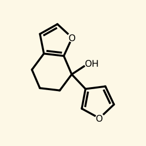 OC1(c2ccoc2)CCCc2ccoc21